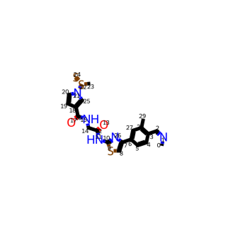 C/N=C\c1ccc(-c2csc(NC(=O)CNC(=O)c3ccn(S(C)=S)c3)n2)cc1C